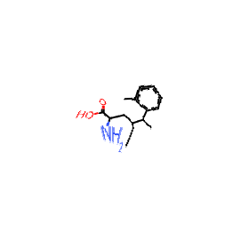 Cc1ccccc1C(C)C(C)CC(N)C(=O)O